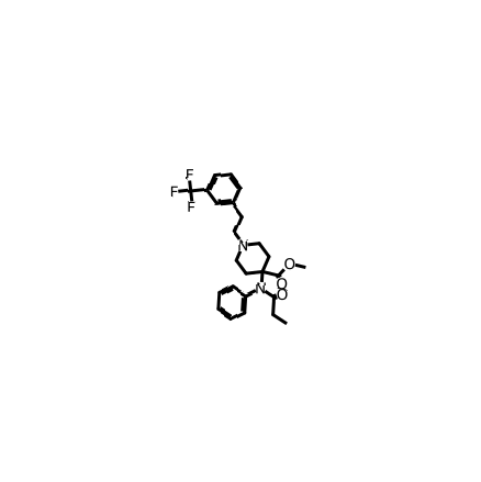 CCC(=O)N(c1ccccc1)C1(C(=O)OC)CCN(CCc2cccc(C(F)(F)F)c2)CC1